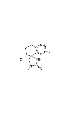 Cc1cc2c(cn1)CCCC21NC(=S)N(C)C1=O